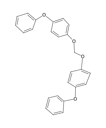 c1ccc(Oc2ccc(OCOc3ccc(Oc4ccccc4)cc3)cc2)cc1